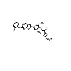 Cc1cc(-c2nc3cnc(Oc4ccccc4F)nc3o2)cc(C)c1OCC(=O)N1CC(C(=O)O)C1